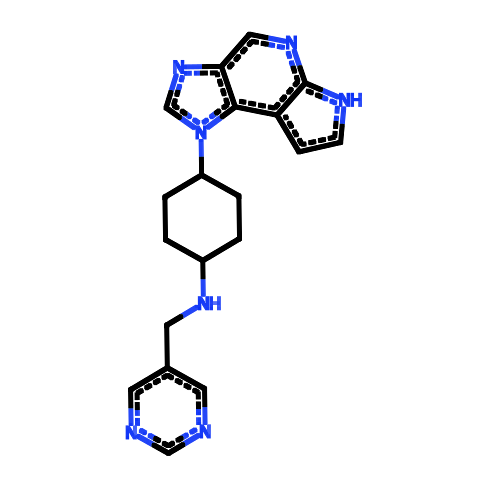 c1ncc(CNC2CCC(n3cnc4cnc5[nH]ccc5c43)CC2)cn1